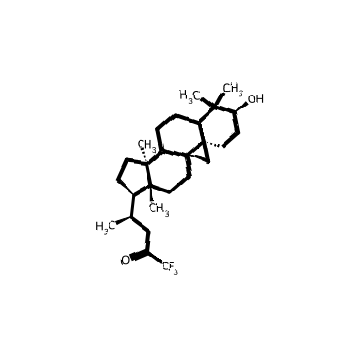 C[C@H](CC(=O)C(F)(F)F)[C@H]1CC[C@@]2(C)C3CCC4C(C)(C)[C@@H](O)CC[C@@]45C[C@@]35CC[C@]12C